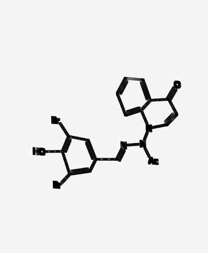 CC(=O)N(N=Cc1cc(Br)c(O)c(Br)c1)n1ccc(=O)c2ccccc21